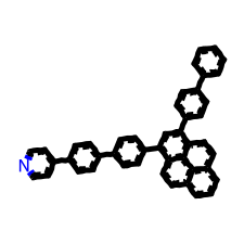 c1ccc(-c2ccc(-c3cc(-c4ccc(-c5ccc(-c6ccncc6)cc5)cc4)c4ccc5cccc6ccc3c4c65)cc2)cc1